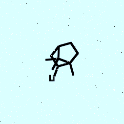 [Li][CH]1CC2CCC1(C)C2(C)C